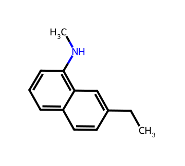 CCc1ccc2cccc(NC)c2c1